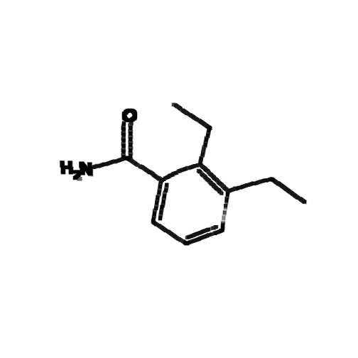 CCc1cccc(C(N)=O)c1CC